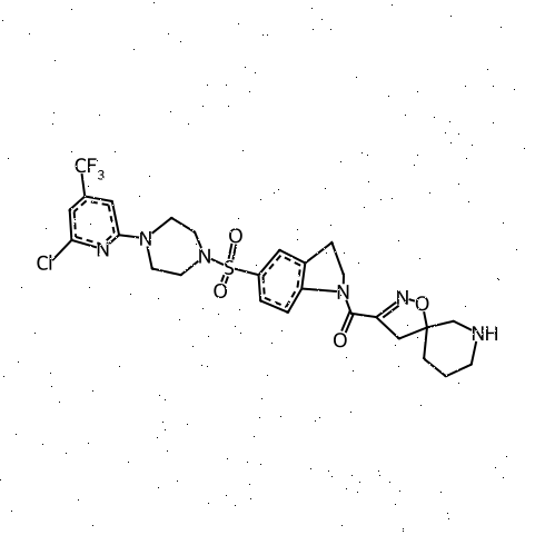 O=C(C1=NOC2(CCCNC2)C1)N1CCc2cc(S(=O)(=O)N3CCN(c4cc(C(F)(F)F)cc(Cl)n4)CC3)ccc21